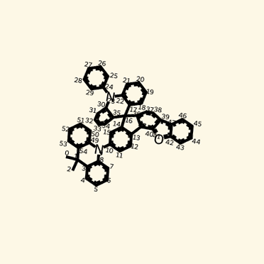 CC1(C)c2ccccc2N(c2ccc3c(c2)C2(c4ccccc4N(c4ccccc4)c4ccccc42)c2ccc4c(oc5ccccc54)c2-3)c2ccccc21